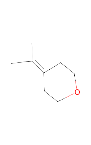 CC(C)=C1CCOCC1